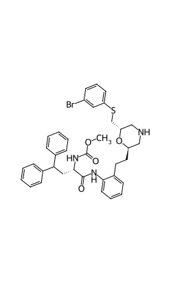 COC(=O)N[C@@H](CC(c1ccccc1)c1ccccc1)C(=O)Nc1ccccc1CC[C@@H]1CNC[C@@H](CSc2cccc(Br)c2)O1